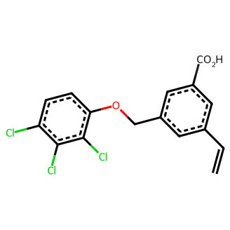 C=Cc1cc(COc2ccc(Cl)c(Cl)c2Cl)cc(C(=O)O)c1